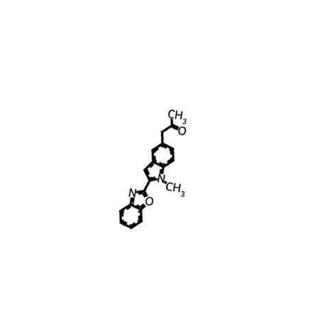 CC(=O)Cc1ccc2c(c1)cc(-c1nc3ccccc3o1)n2C